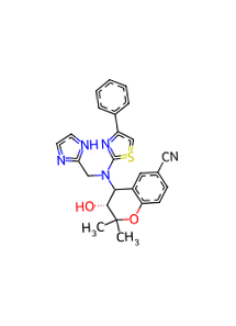 CC1(C)Oc2ccc(C#N)cc2C(N(Cc2ncc[nH]2)c2nc(-c3ccccc3)cs2)[C@H]1O